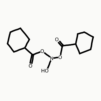 O=C(ON(O)OC(=O)C1CCCCC1)C1CCCCC1